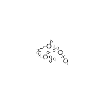 COC(=O)Oc1ccc(C[Si](C)(C)O[Si](C)(C)CCCc2ccc(OC(=O)Oc3ccc(C(C)(C)c4ccc(C)cc4)cc3)c(OC)c2)cc1OC